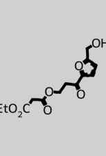 CCOC(=O)CC(=O)OCCC(=O)c1ccc(CO)o1